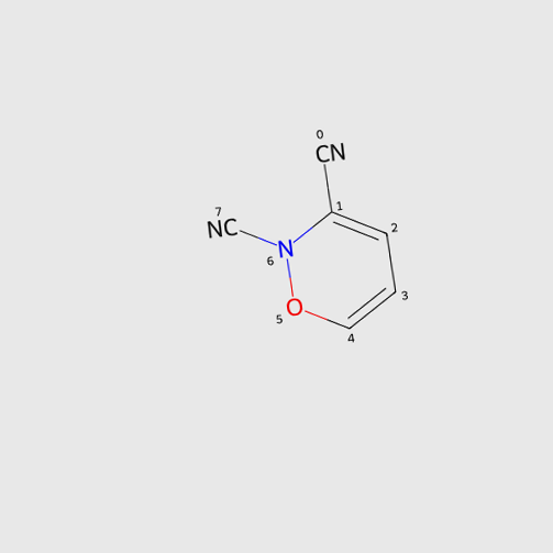 N#CC1=CC=CON1C#N